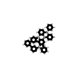 c1ccc(-c2cccc(-n3c4ccccc4c4cc5c6c(c7ccccc7n6-c6cccc7c6B5c5ccccc5N7c5ccccc5)c43)c2)cc1